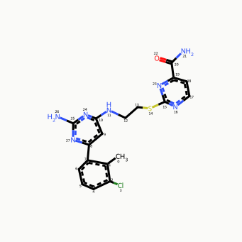 Cc1c(Cl)cccc1-c1cc(NCCSc2nccc(C(N)=O)n2)nc(N)n1